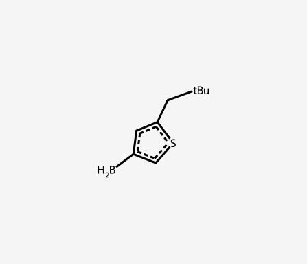 Bc1csc(CC(C)(C)C)c1